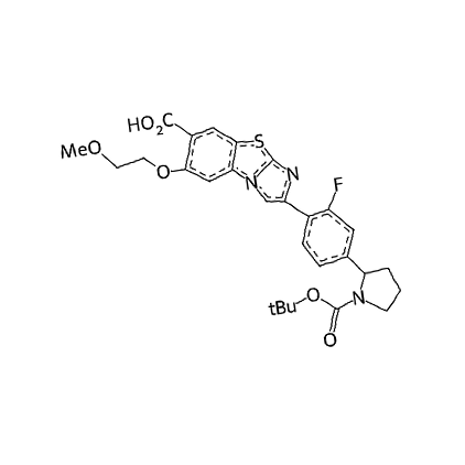 COCCOc1cc2c(cc1C(=O)O)sc1nc(-c3ccc(C4CCCN4C(=O)OC(C)(C)C)cc3F)cn12